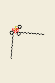 CCCCCCCCCCCCCCCc1cccc(OP(=S)(Oc2ccccc2)Oc2cccc(CCCCCCCCCCCCCCC)c2)c1